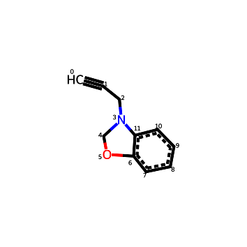 C#CCN1COc2ccccc21